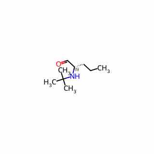 CCC[C@@H](C=O)NC(C)(C)C